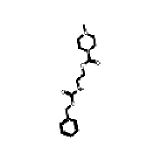 CN1CCN(C(=O)OCCNC(=O)OCc2ccccc2)CC1